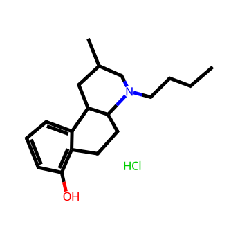 CCCCN1CC(C)CC2c3cccc(O)c3CCC21.Cl